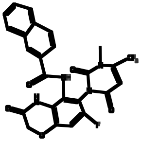 Cn1c(C(F)(F)F)cc(=O)n(-c2c(F)cc3c(c2NC(=O)c2ccc4ccccc4c2)NC(=O)CO3)c1=O